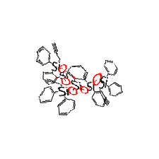 C#CC[Si](O[Si](C)(C)O[Si](C)(O[Si](CC#C)(c1ccccc1)c1ccccc1)O[Si](O[Si](CC#C)(c1ccccc1)c1ccccc1)(c1ccccc1)c1ccccc1)(c1ccccc1)c1ccccc1